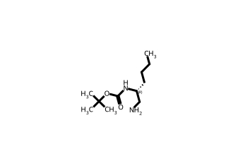 CCCC[C@H](CN)NC(=O)OC(C)(C)C